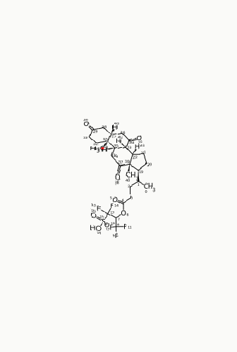 CC(CCC(=O)OC(C(F)(F)F)C(F)(F)S(=O)(=O)O)[C@@H]1CC[C@H]2[C@H]3C(=O)C[C@H]4CC(=O)CC[C@@]4(C)[C@H]3CC(=O)[C@@]12C